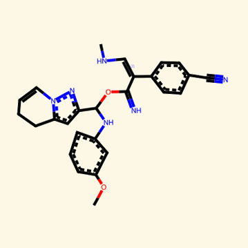 CN/C=C(\C(=N)OC(Nc1cccc(OC)c1)c1cc2n(n1)C=CCC2)c1ccc(C#N)cc1